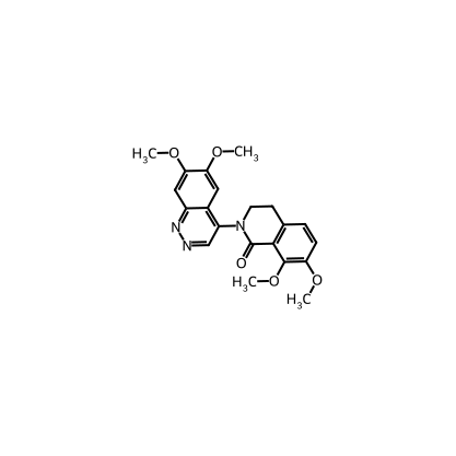 COc1cc2nncc(N3CCc4ccc(OC)c(OC)c4C3=O)c2cc1OC